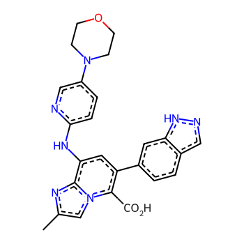 Cc1cn2c(C(=O)O)c(-c3ccc4cn[nH]c4c3)cc(Nc3ccc(N4CCOCC4)cn3)c2n1